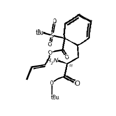 CC=COC(=O)C1(S(=O)(=O)C(C)(C)C)C=CC=CC1C[C@H](N)C(=O)OC(C)(C)C